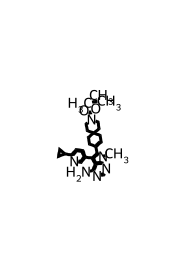 Cn1c(C2=CCC3(CC2)CCN(C(=O)OC(C)(C)C)CC3)c(-c2ccc(C3CC3)nc2)c2c(N)ncnc21